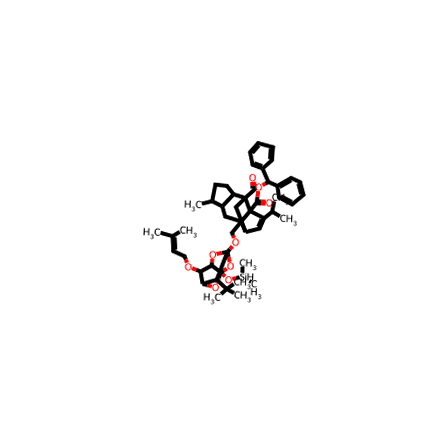 CC(C)=CCOC1C2OC3(O[SiH](C)C)OC(OCC45CC6C(C)CCC6C6(C=O)CC4C=C(C(C)C)C65C(=O)OC(c4ccccc4)c4ccccc4)(OC13)C2C(C)(C)C